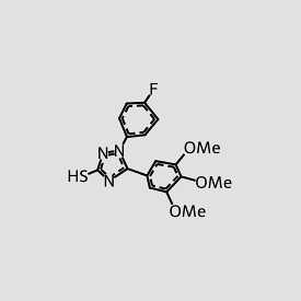 COc1cc(-c2nc(S)nn2-c2ccc(F)cc2)cc(OC)c1OC